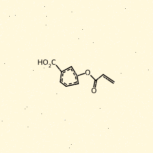 C=CC(=O)Oc1cccc(C(=O)O)c1